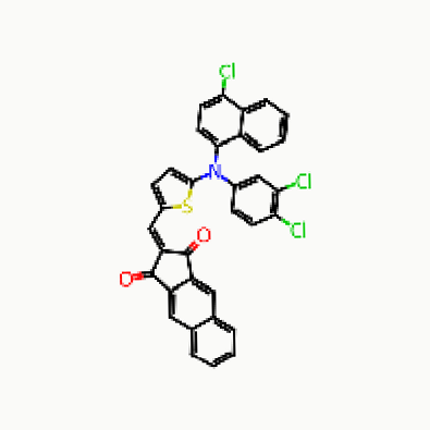 O=C1C(=Cc2ccc(N(c3ccc(Cl)c(Cl)c3)c3ccc(Cl)c4ccccc34)s2)C(=O)c2cc3ccccc3cc21